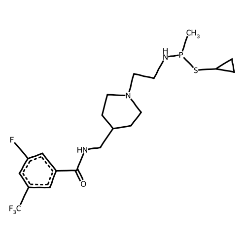 CP(NCCN1CCC(CNC(=O)c2cc(F)cc(C(F)(F)F)c2)CC1)SC1CC1